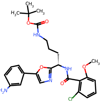 COc1cccc(Cl)c1C(=O)N[C@@H](CCCNC(=O)OC(C)(C)C)c1ncc(-c2cccc(N)c2)o1